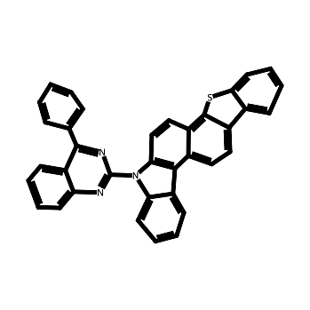 c1ccc(-c2nc(-n3c4ccccc4c4c5ccc6c7ccccc7sc6c5ccc43)nc3ccccc23)cc1